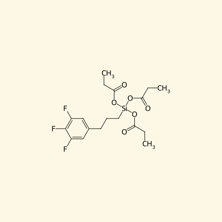 CCC(=O)O[Si](CCCc1cc(F)c(F)c(F)c1)(OC(=O)CC)OC(=O)CC